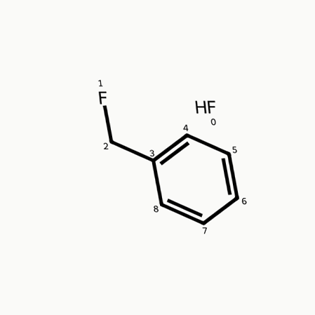 F.FCc1ccccc1